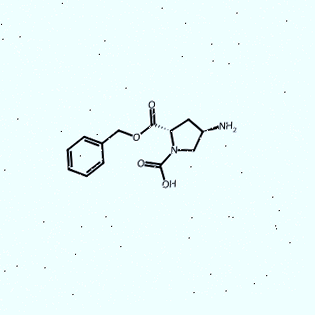 N[C@@H]1C[C@@H](C(=O)OCc2ccccc2)N(C(=O)O)C1